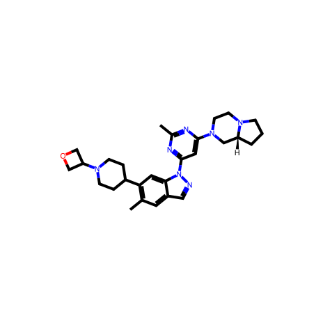 Cc1nc(N2CCN3CCC[C@@H]3C2)cc(-n2ncc3cc(C)c(C4CCN(C5COC5)CC4)cc32)n1